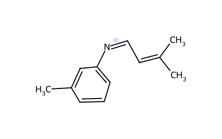 CC(C)=C/C=N\c1cccc(C)c1